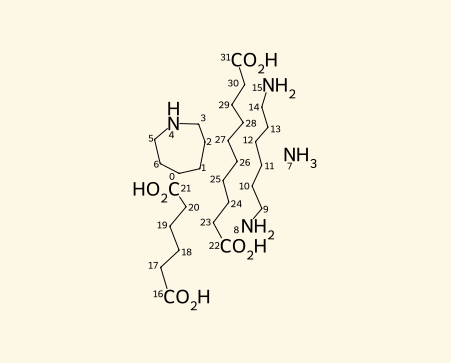 C1CCCNCC1.N.NCCCCCCN.O=C(O)CCCCC(=O)O.O=C(O)CCCCCCCCC(=O)O